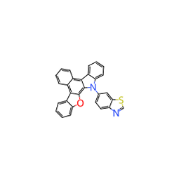 c1ccc2c(c1)oc1c2c2ccccc2c2c3ccccc3n(-c3ccc4ncsc4c3)c12